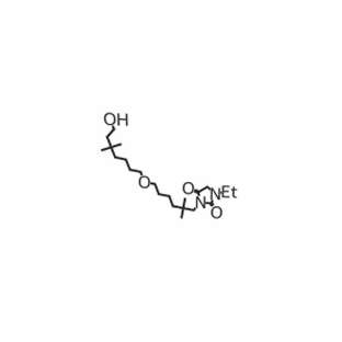 CCN1CC(=O)N(CC(C)(C)CCCCOCCCCC(C)(C)CCO)C1=O